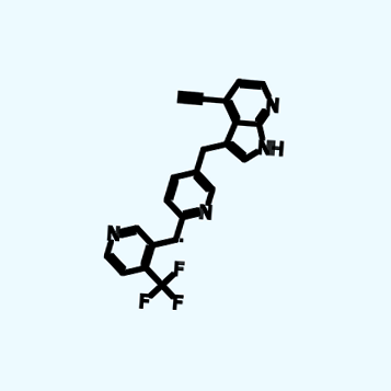 C#Cc1ccnc2[nH]cc(Cc3ccc([CH]c4cnccc4C(F)(F)F)nc3)c12